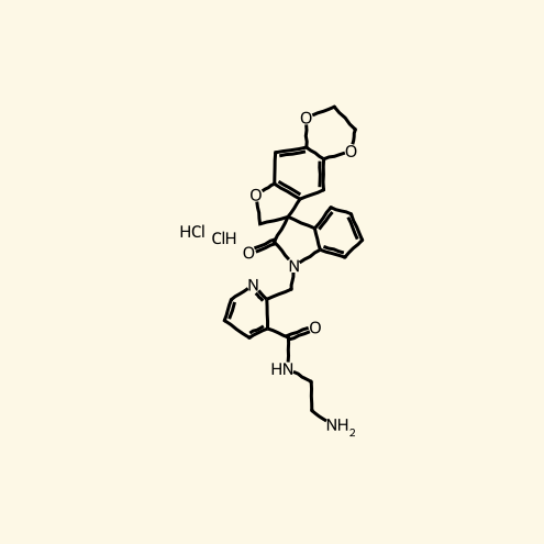 Cl.Cl.NCCNC(=O)c1cccnc1CN1C(=O)C2(COc3cc4c(cc32)OCCO4)c2ccccc21